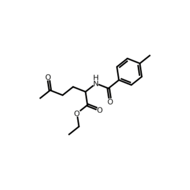 CCOC(=O)C(CCC(C)=O)NC(=O)c1ccc(C)cc1